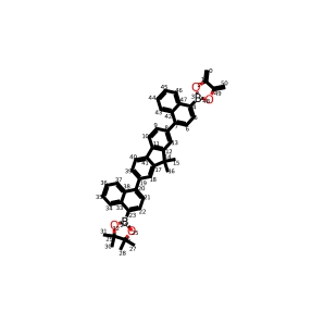 C=C1OB(c2ccc(-c3ccc4c(c3)C(C)(C)c3cc(-c5ccc(B6OC(C)(C)C(C)(C)O6)c6ccccc56)ccc3-4)c3ccccc23)OC1=C